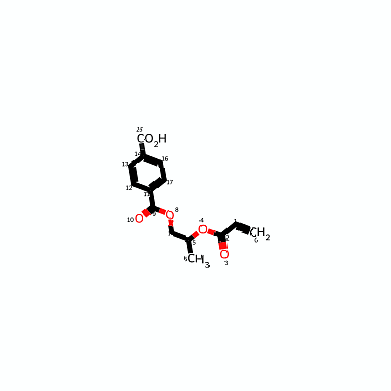 C=CC(=O)OC(C)COC(=O)c1ccc(C(=O)O)cc1